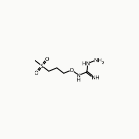 CS(=O)(=O)CCCONC(=N)NN